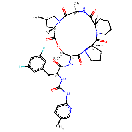 Cc1ccc(NC(=O)N[C@@H](Cc2cc(F)cc(F)c2)C(=O)N[C@@H]2C(=O)N3CCC[C@H]3C(=O)N3CCCC[C@H]3C(=O)N[C@@H](C)C(=O)N3C[C@H](C)C[C@H]3C(=O)O[C@H]2C)nc1